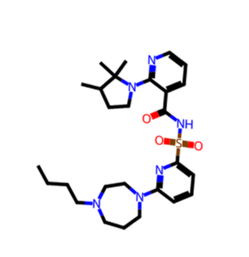 CCCCN1CCCN(c2cccc(S(=O)(=O)NC(=O)c3cccnc3N3CCC(C)C3(C)C)n2)CC1